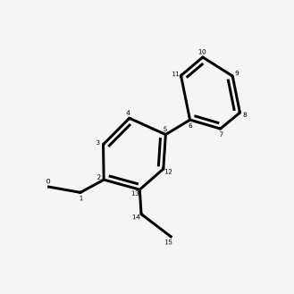 CCc1ccc(-c2ccccc2)cc1CC